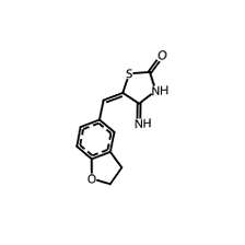 N=C1NC(=O)SC1=Cc1ccc2c(c1)CCO2